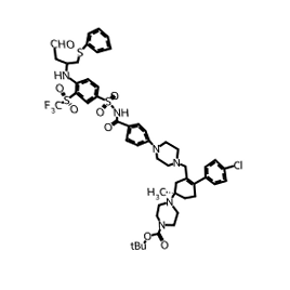 CC(C)(C)OC(=O)N1CCN([C@]2(C)CCC(c3ccc(Cl)cc3)=C(CN3CCN(c4ccc(C(=O)NS(=O)(=O)c5ccc(NC(CC=O)CSc6ccccc6)c(S(=O)(=O)C(F)(F)F)c5)cc4)CC3)C2)CC1